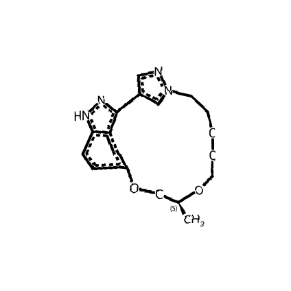 C[C@H]1COc2ccc3[nH]nc(c3c2)-c2cnn(c2)CCCCCO1